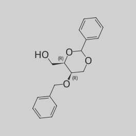 OC[C@H]1OC(c2ccccc2)OC[C@H]1OCc1ccccc1